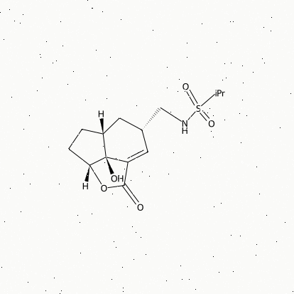 CC(C)S(=O)(=O)NC[C@@H]1C=C2C(=O)O[C@@H]3CC[C@H](C1)[C@]23O